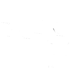 COC(=O)COc1ccc([C@H]2c3cc(O)ccc3OC[C@@H]2c2ccccc2)cc1